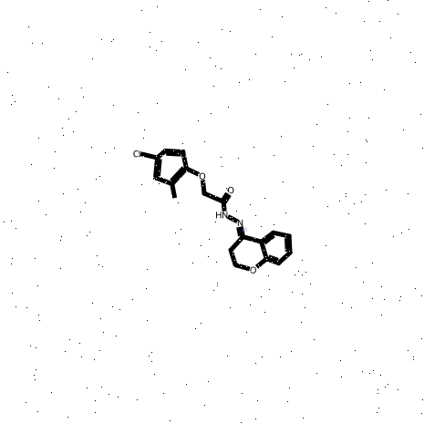 Cc1cc(Cl)ccc1OCC(=O)N/N=C1\CCOc2ccccc21